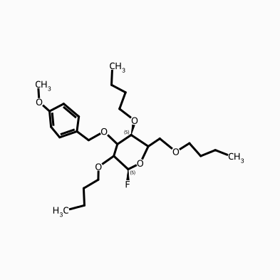 CCCCOCC1O[C@@H](F)C(OCCCC)C(OCc2ccc(OC)cc2)[C@H]1OCCCC